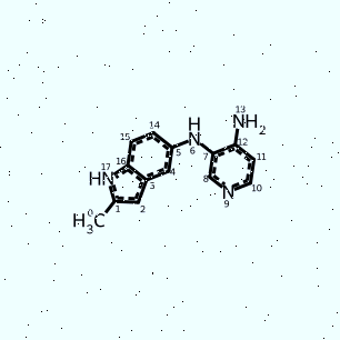 Cc1cc2cc(Nc3cnccc3N)ccc2[nH]1